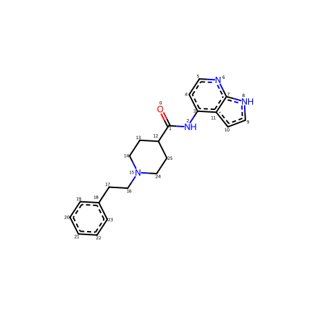 O=C(Nc1ccnc2[nH]ccc12)C1CCN(CCc2ccccc2)CC1